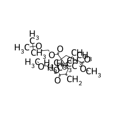 C=C(CC(C)(C)C(C)(CC(C)(C)C(C)(C)C(=O)OC)C(=O)OCCOC(C)(C)C)C(=O)OCCOC